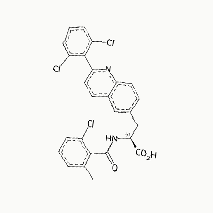 Cc1cccc(Cl)c1C(=O)N[C@@H](Cc1ccc2nc(-c3c(Cl)cccc3Cl)ccc2c1)C(=O)O